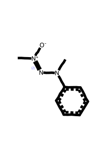 CN(/N=[N+](/C)[O-])c1ccccc1